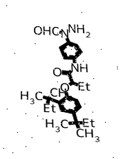 CCC(Oc1ccc(C(C)(C)CC)cc1C(C)(C)CC)C(=O)Nc1ccc(N(N)C=O)cc1